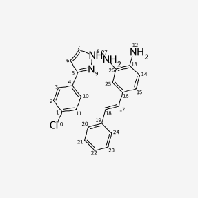 Clc1ccc(-c2cc[nH]n2)cc1.Nc1ccc(C=Cc2ccccc2)cc1N